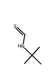 CC(C)(C)N[C]=S